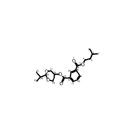 CC(C)CCOC(=O)c1cccc(C(=O)OC2COC(C(C)C)OC2)c1